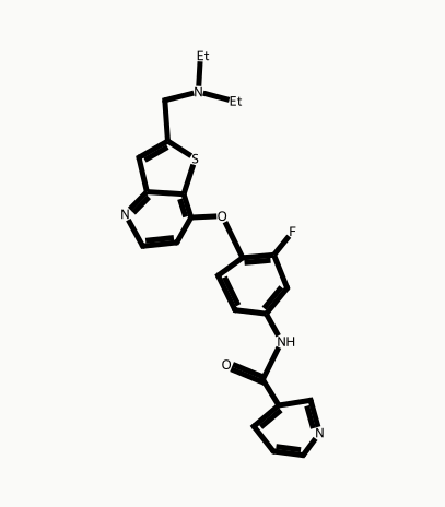 CCN(CC)Cc1cc2nccc(Oc3ccc(NC(=O)c4cccnc4)cc3F)c2s1